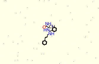 CC(NC(NCC=Cc1ccccc1)c1ccccc1)C(N)=O